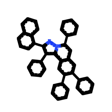 c1ccc(-c2cc3cc(-c4ccccc4)n4nc(-c5cccc6ccccc56)c(-c5ccccc5)c4c3cc2-c2ccccc2)cc1